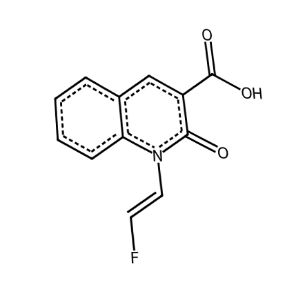 O=C(O)c1cc2ccccc2n(C=CF)c1=O